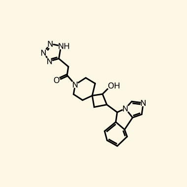 O=C(Cc1nnn[nH]1)N1CCC2(CC1)CC(C1c3ccccc3-c3cncn31)C2O